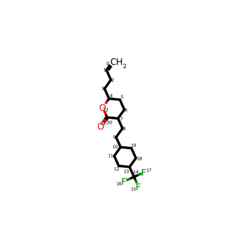 C=CCCC1CCC(CCC2CCC(C(F)(F)F)CC2)C(=O)O1